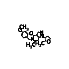 COc1ccc(Cn2c(C)cc3c(cnn3C3CCOC3C)c2=O)cc1